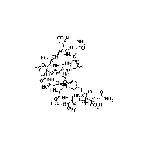 CC[C@H](C)[C@H](NC(=O)[C@H](CO)NC(=O)[C@@H](NC(=O)[C@H](CS)NC(=O)[C@H](CS)NC(=O)[C@H](CCC(N)=O)NC(=O)[C@@H](N)CCC(=O)O)[C@@H](C)O)C(=O)N[C@@H](CS)C(=O)N[C@@H](CO)C(=O)N[C@@H](CC(C)C)C(=O)N[C@@H](Cc1ccc(O)cc1)C(=O)N[C@@H](CCC(N)=O)C(=O)O